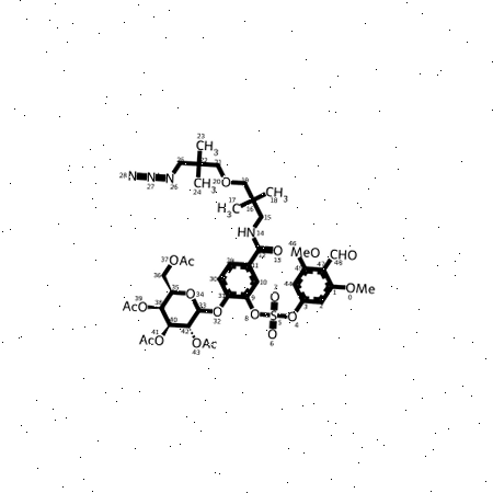 COc1cc(OS(=O)(=O)Oc2cc(C(=O)NCC(C)(C)COCC(C)(C)CN=[N+]=[N-])ccc2OC2O[C@H](COC(C)=O)[C@H](OC(C)=O)[C@H](OC(C)=O)[C@H]2OC(C)=O)cc(OC)c1C=O